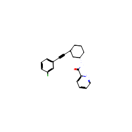 O=C(N[C@@H]1CCC[C@](O)(C#Cc2cccc(Cl)c2)C1)c1ccccn1